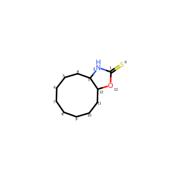 S=C1NC2CCCCCCCCC2O1